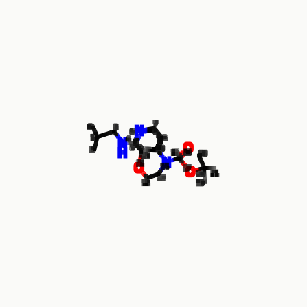 CC(C)CNc1nccc2c1OCCN2C(=O)OC(C)(C)C